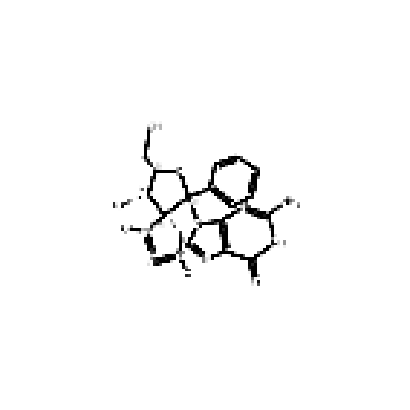 Nc1nc2c(ncn2[C@]2(c3ccccc3)O[C@H](CO)[C@@H](O)[C@]2(O[N+](=O)[O-])[N+](=O)[O-])c(=O)[nH]1